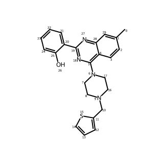 Cc1ccc2c(N3CCN(Cc4cccs4)CC3)nc(-c3ccccc3O)nc2c1